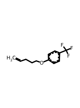 C=CCCCOc1ccc(C(F)(F)F)cc1